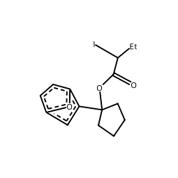 CCC(I)C(=O)OC1(c2cc3ccc2o3)CCCC1